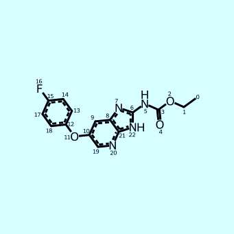 CCOC(=O)Nc1nc2cc(Oc3ccc(F)cc3)cnc2[nH]1